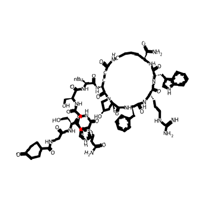 CCCC[C@H](NC(=O)[C@H](CO)NC(=O)[C@H](Cc1c[nH]cn1)NC(=O)[C@H](CCC(N)=O)NC(=O)[C@H](CO)NC(=O)CNC(=O)C1CCC(=O)CC1)C(=O)N[C@H]1CCC(=O)NCCCC[C@@H](C(N)=O)NC(=O)[C@H](Cc2c[nH]c3ccccc23)NC(=O)[C@H](CCCNC(=N)N)NC(=O)[C@@H](Cc2ccccc2)NC(=O)[C@@H]2C[C@@H](O)CN2C1=O